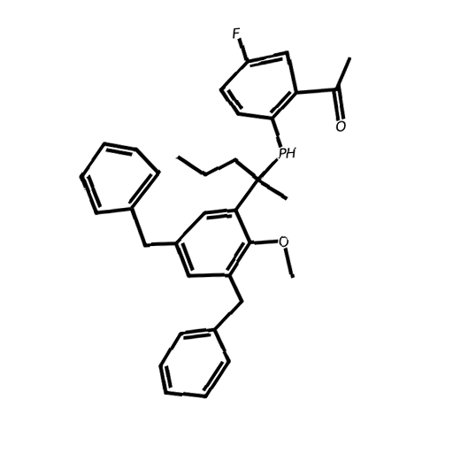 CCCC(C)(Pc1ccc(F)cc1C(C)=O)c1cc(Cc2ccccc2)cc(Cc2ccccc2)c1OC